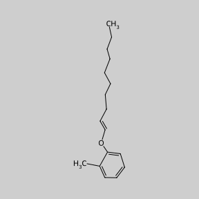 CCCCCCCCC=COc1ccccc1C